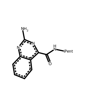 CCCC(C)NC(=O)c1nc(N)nc2ccccc12